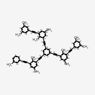 Cc1cccc(C#Cc2cc(N)cc(C#Cc3cc(C#Cc4cc(N)cc(C#Cc5cc(C)cc(C)c5)c4C)cc(C#Cc4cc(N)cc(C#Cc5cc(C)cc(C)c5)c4C)c3)c2C)c1